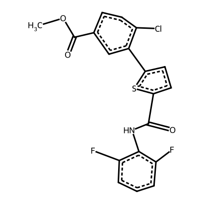 COC(=O)c1ccc(Cl)c(-c2ccc(C(=O)Nc3c(F)cccc3F)s2)c1